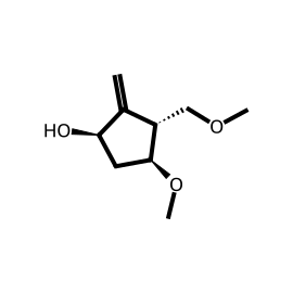 C=C1[C@H](O)C[C@H](OC)[C@H]1COC